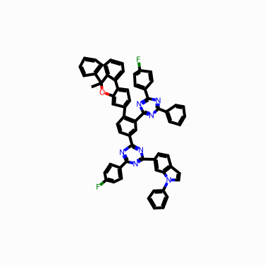 CC1(c2ccccc2)Oc2cc(-c3ccc(-c4nc(-c5ccc(F)cc5)nc(-c5ccc6ccn(-c7ccccc7)c6c5)n4)cc3-c3nc(-c4ccccc4)nc(-c4ccc(F)cc4)n3)ccc2-c2ccccc21